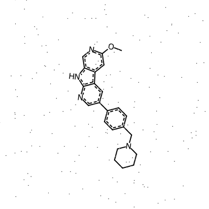 COc1cc2c(cn1)[nH]c1ncc(-c3ccc(CN4CCCCC4)cc3)cc12